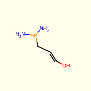 NP(N)CC=CO